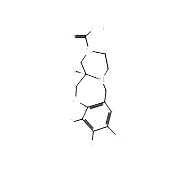 O=C(O)N1CCN2Cc3cc(Cl)c(I)c(F)c3OC[C@@H]2C1